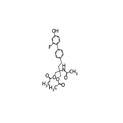 CC(=O)NC(CCc1ccc(-c2ccc(O)cc2F)cc1)(COC(C)=O)COC(C)=O